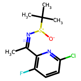 C/C(=N/[S+]([O-])C(C)(C)C)c1nc(Cl)ccc1F